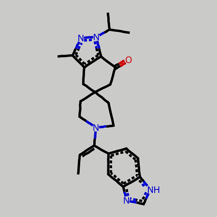 CC=C(c1ccc2[nH]cnc2c1)N1CCC2(CC1)CC(=O)c1c(c(C)nn1C(C)C)C2